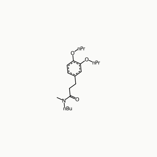 CCCCN(C)C(=O)CCc1ccc(OCCC)c(OCCC)c1